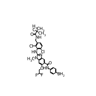 Bc1ccc(NC(=O)c2cc3nc(Nc4c(Cl)ccc(CNC(=O)C(C)(C)C)c4Cl)n(C)c3cc2OCC(F)F)cc1